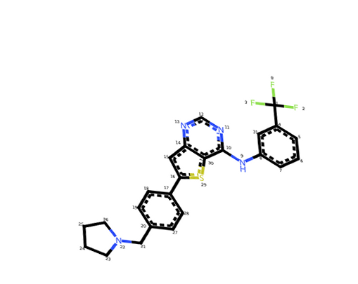 FC(F)(F)c1cccc(Nc2ncnc3cc(-c4ccc(CN5CCCC5)cc4)sc23)c1